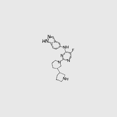 Fc1cnc(N2CCCC(C3CCCNC3)C2)nc1Nc1ccc2[nH]ncc2c1